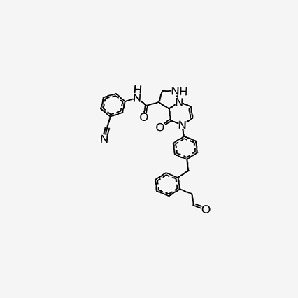 N#Cc1cccc(NC(=O)C2CNN3C=CN(c4ccc(Cc5ccccc5CC=O)cc4)C(=O)C23)c1